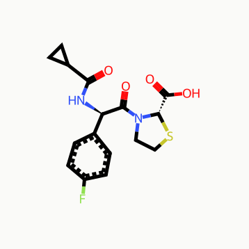 O=C(N[C@@H](C(=O)N1CCS[C@H]1C(=O)O)c1ccc(F)cc1)C1CC1